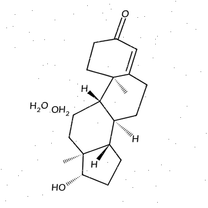 C[C@]12CC[C@H]3[C@@H](CCC4=CC(=O)CC[C@@]43C)[C@@H]1CC[C@@H]2O.O.O